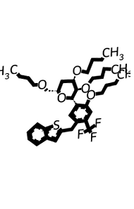 CCCCOC[C@@H]1C[C@H](OCCCC)[C@@H](OCCCC)[C@H](c2cc(Cc3cc4ccccc4s3)c(C(F)(F)F)cc2OCCCC)O1